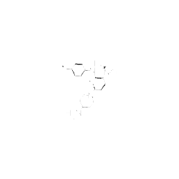 COc1ccc(Nc2nc(N3CCC(N)CC3)ccc2[N+](=O)[O-])cc1